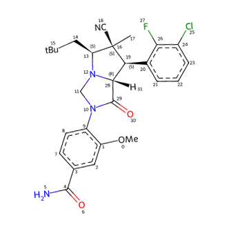 COc1cc(C(N)=O)ccc1N1CN2[C@@H](CC(C)(C)C)[C@@](C)(C#N)[C@@H](c3cccc(Cl)c3F)[C@@H]2C1=O